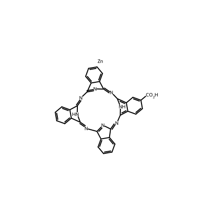 O=C(O)c1ccc2c3nc4nc(nc5[nH]c(nc6nc(nc([nH]3)c2c1)-c1ccccc1-6)c1ccccc51)-c1ccccc1-4.[Zn]